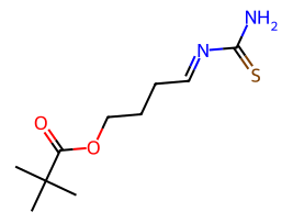 CC(C)(C)C(=O)OCCCC=NC(N)=S